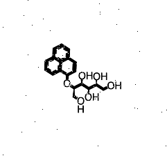 OC[C@@H](O)[C@@H](O)[C@H](O)[C@@H](CO)OC1C=Cc2cccc3cccc1c23